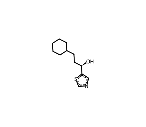 O[C@H](CCC1CCCCC1)c1cncs1